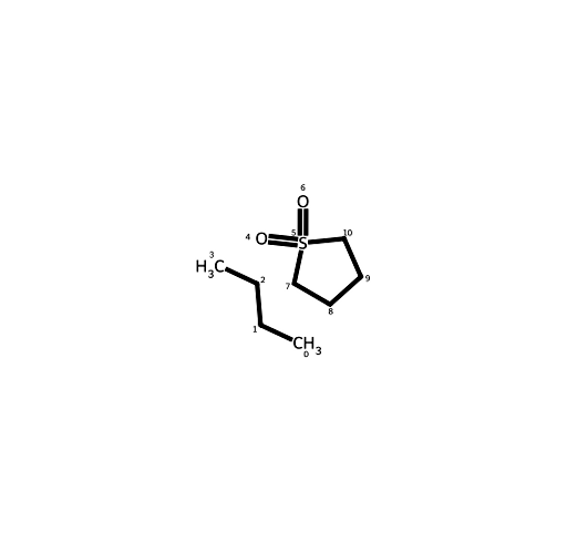 CCCC.O=S1(=O)CCCC1